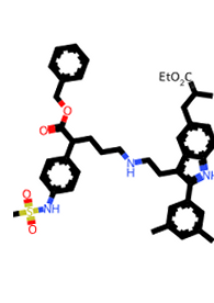 CCOC(=O)C(C)Cc1ccc2[nH]c(-c3cc(C)cc(C)c3)c(CCNCCCC(C(=O)OCc3ccccc3)c3ccc(NS(C)(=O)=O)cc3)c2c1